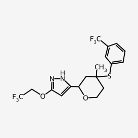 CC1(Sc2cccc(C(F)(F)F)c2)CCOC(c2cc(OCC(F)(F)F)n[nH]2)C1